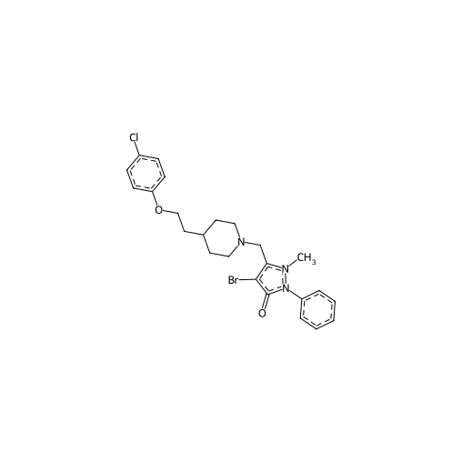 Cn1c(CN2CCC(CCOc3ccc(Cl)cc3)CC2)c(Br)c(=O)n1-c1ccccc1